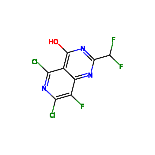 Oc1nc(C(F)F)nc2c(F)c(Cl)nc(Cl)c12